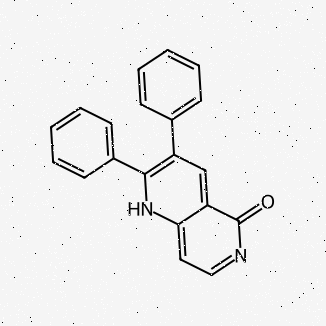 O=c1nccc2[nH]c(-c3ccccc3)c(-c3ccccc3)cc1-2